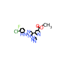 CCOC(=O)c1cncc(-c2cnc(Nc3ccc(F)c(Cl)c3)nc2-n2ccnn2)c1